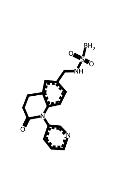 BS(=O)(=O)NCc1ccc2c(c1)CCC(=O)N2c1cccnc1